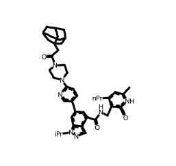 CCCc1cc(C)[nH]c(=O)c1CNC(=O)c1cc(-c2ccc(N3CCN(C(=O)CC45CC6CC(CC(C6)C4)C5)CC3)nc2)cc2c1cnn2C(C)C